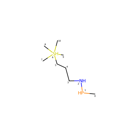 CPNCCC[SH](C)(C)(C)C